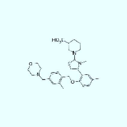 Cc1ccc(OCc2ccc(CN3CCOCC3)cc2C)c(C2=CSC(N3CCCC(C(=O)O)C3)N2C)c1